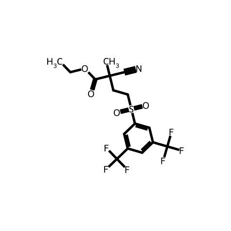 CCOC(=O)C(C)(C#N)CCS(=O)(=O)c1cc(C(F)(F)F)cc(C(F)(F)F)c1